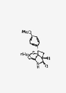 CCCCCCS[C@]12C(=O)NC(=O)[C@H]1C[C@H]2c1ccc(OC)cc1